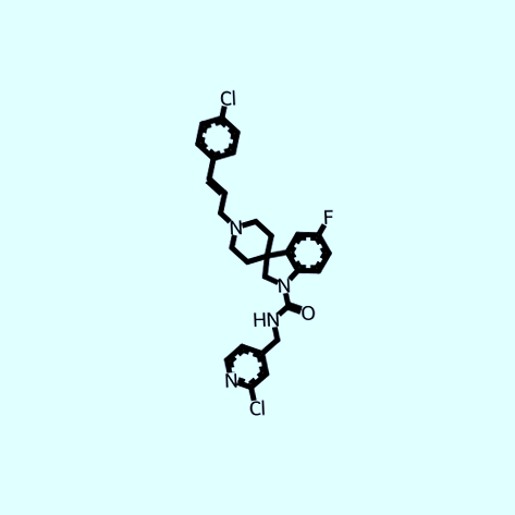 O=C(NCc1ccnc(Cl)c1)N1CC2(CCN(C/C=C/c3ccc(Cl)cc3)CC2)c2cc(F)ccc21